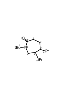 CC(C)C1CCC(=O)N(C(C)(C)C)CC1C(C)C